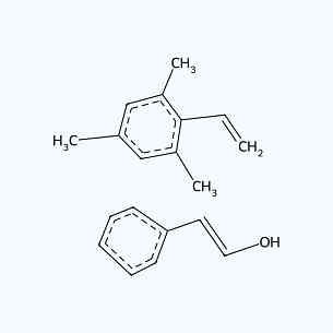 C=Cc1c(C)cc(C)cc1C.OC=Cc1ccccc1